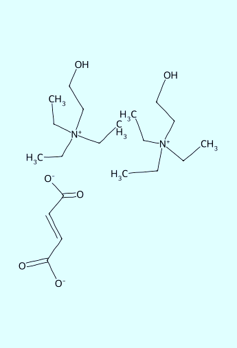 CC[N+](CC)(CC)CCO.CC[N+](CC)(CC)CCO.O=C([O-])C=CC(=O)[O-]